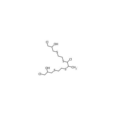 [CH2]C(SCCSCC(O)CCl)C(Cl)SCCSCC(O)CCl